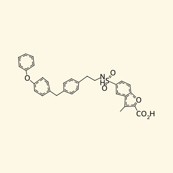 Cc1c(C(=O)O)oc2ccc(S(=O)(=O)NCCc3ccc(Cc4ccc(Oc5ccccc5)cc4)cc3)cc12